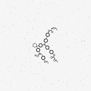 C=CC(=O)Oc1ccc(-c2ccc(N(c3ccc(-c4ccc(OC(=O)C=C)cc4)cc3)c3ccc(C4(c5ccc(N(C)Cc6ccc(C)cc6)cc5)CCCCC4)cc3)cc2)cc1